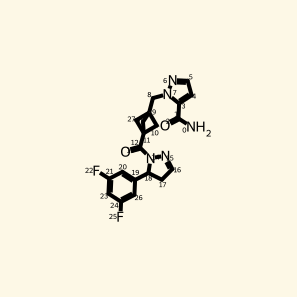 NC(=O)c1ccnn1CC12CC(C(=O)N3N=CCC3c3cc(F)cc(F)c3)(C1)C2